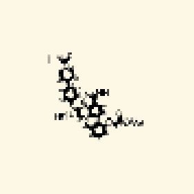 COC(=O)COc1cccc(CN(CC(=O)Nc2ccc(C3CCN(C(C)=N)CC3)cc2)c2cccc(C(=N)N)c2)c1.Cl.Cl